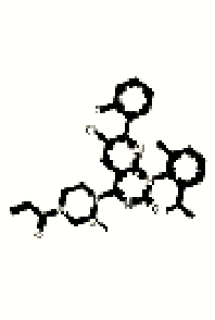 C=CC(=O)N1CCN(c2nc(=O)n(-c3c(C)cccc3C(C)C)c3nc(-c4ccccc4F)c(Cl)cc23)[C@@H](C)C1